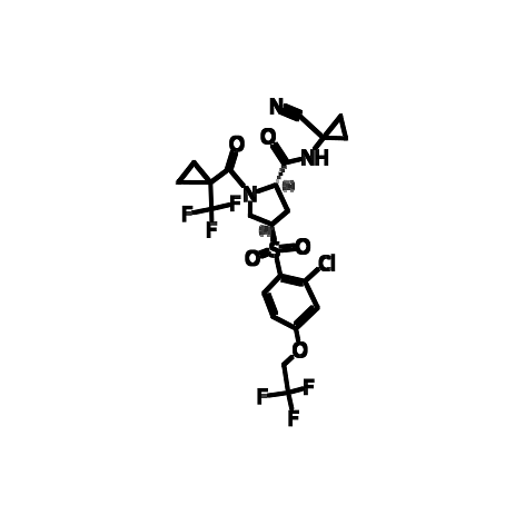 N#CC1(NC(=O)[C@@H]2C[C@@H](S(=O)(=O)c3ccc(OCC(F)(F)F)cc3Cl)CN2C(=O)C2(C(F)(F)F)CC2)CC1